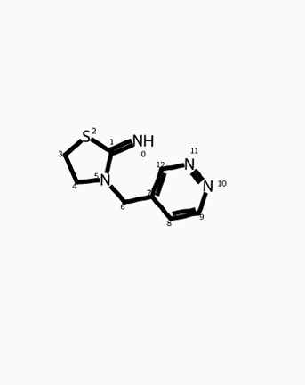 N=C1SCCN1Cc1ccnnc1